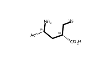 CC(=O)[C@H](N)C[C@H](C[18F])C(=O)O